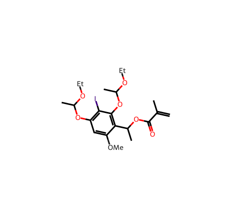 C=C(C)C(=O)OC(C)c1c(OC)cc(OC(C)OCC)c(I)c1OC(C)OCC